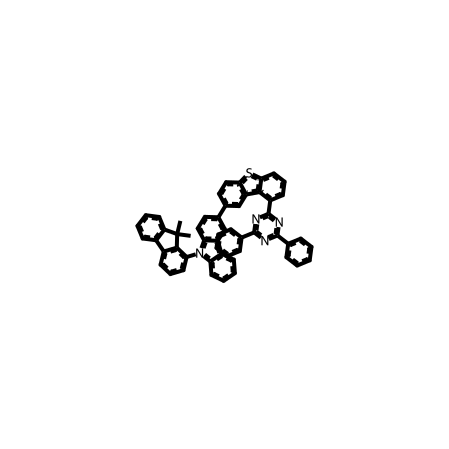 CC1(C)c2ccccc2-c2cccc(-n3c4ccccc4c4cc(-c5ccc6sc7cccc(-c8nc(-c9ccccc9)nc(-c9ccccc9)n8)c7c6c5)ccc43)c21